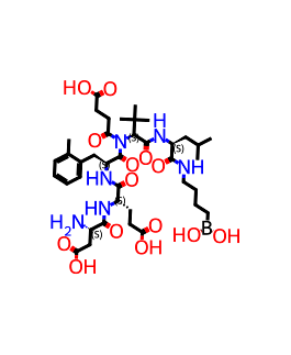 Cc1ccccc1C[C@H](NC(=O)[C@H](CCC(=O)O)NC(=O)[C@@H](N)CC(=O)O)C(=O)N(C(=O)CCC(=O)O)[C@H](C(=O)N[C@@H](CC(C)C)C(=O)NCCCCB(O)O)C(C)(C)C